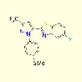 CSc1ccc(-n2nc(C(F)(F)F)cc2-c2nc3cc(F)ccc3s2)cc1